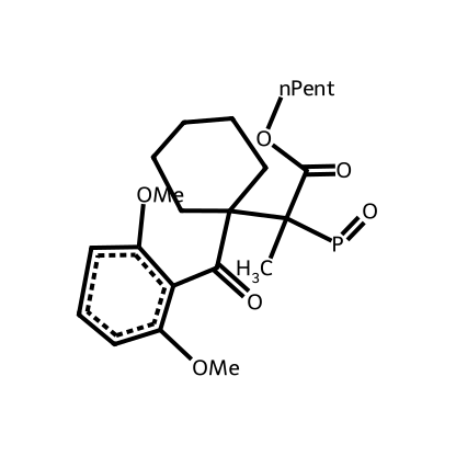 CCCCCOC(=O)C(C)(P=O)C1(C(=O)c2c(OC)cccc2OC)CCCCC1